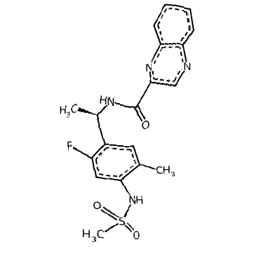 Cc1cc([C@@H](C)NC(=O)c2cnc3ccccc3n2)c(F)cc1NS(C)(=O)=O